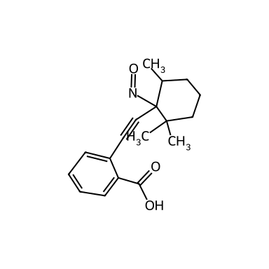 CC1CCCC(C)(C)C1(C#Cc1ccccc1C(=O)O)N=O